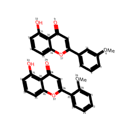 COc1cccc(-c2cc(=O)c3c(O)cccc3o2)c1.COc1ccccc1-c1cc(=O)c2c(O)cccc2o1